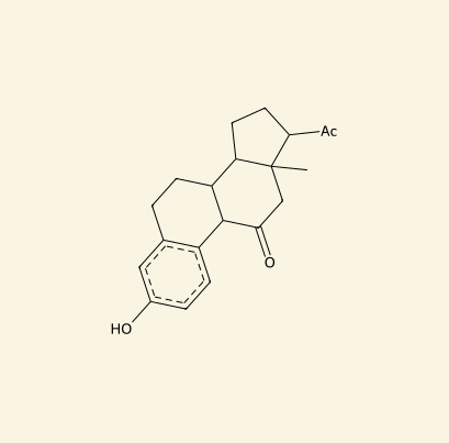 CC(=O)C1CCC2C3CCc4cc(O)ccc4C3C(=O)CC12C